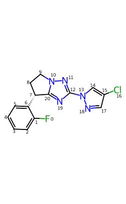 Fc1ccccc1[C@@H]1CCn2nc(-n3cc(Cl)cn3)nc21